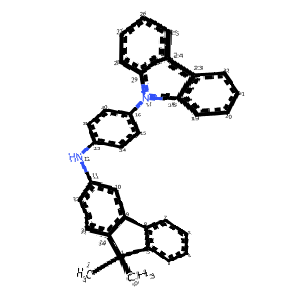 CC1(C)c2ccccc2-c2cc(Nc3ccc(-n4c5ccccc5c5ccccc54)cc3)ccc21